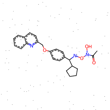 CC(=O)N(O)O[N]C(c1ccc(OCc2ccc3ccccc3n2)cc1)C1CCCC1